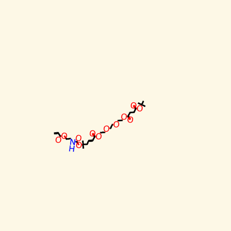 C=CC(=O)OCCNC(=O)OC(C)(C)C/C=C/C(=O)OCCOCCOCCOC(=O)CCC(=O)OC(C)(C)C